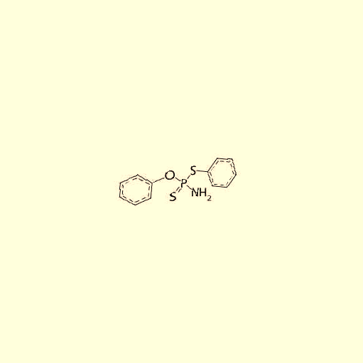 NP(=S)(Oc1ccccc1)Sc1ccccc1